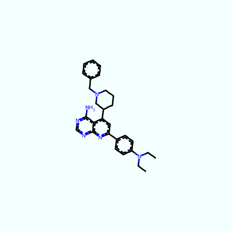 CCN(CC)c1ccc(-c2cc(C3CCCN(Cc4ccccc4)C3)c3c(N)ncnc3n2)cc1